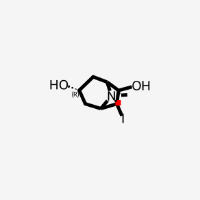 C[N+]1(C)C2C[C@@H](O)CC1C(I)C2O